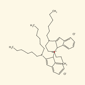 CCCCCCP(CCCCCC)C1=Cc2ccccc2[CH]1[Hf+2][CH]1C(P(CCCCCC)CCCCCC)=Cc2ccccc21.[Cl-].[Cl-]